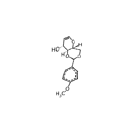 COc1ccc(C2OC[C@H]3OC=C[C@@H](O)[C@@H]3O2)cc1